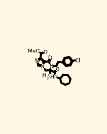 COC(=O)c1ncn2c1C(=O)N(CCc1ccc(Cl)cc1)C(C)(C(=O)NC1CCCCCC1)C2